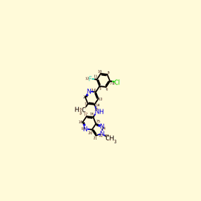 Cc1cnc(-c2cc(Cl)ccc2F)cc1Nc1ccnc2cn(C)nc12